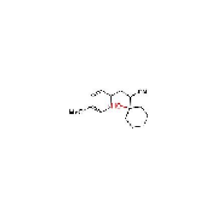 COc1ccc(CC(C#N)C2(O)CCCCC2)cc1